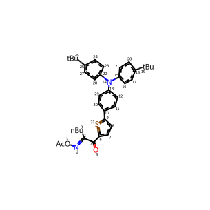 CCCC/C(=N\OC(C)=O)C(=O)c1ccc(-c2ccc(N(c3ccc(C(C)(C)C)cc3)c3ccc(C(C)(C)C)cc3)cc2)s1